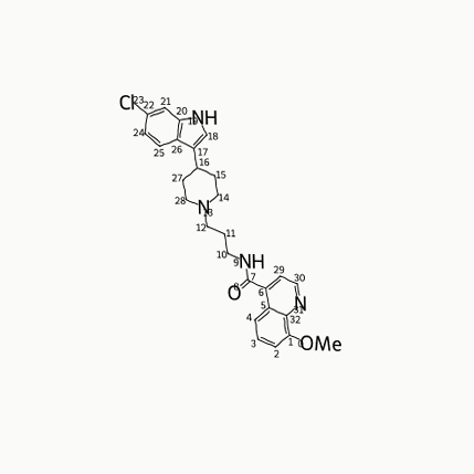 COc1cccc2c(C(=O)NCCCN3CCC(c4c[nH]c5cc(Cl)ccc45)CC3)ccnc12